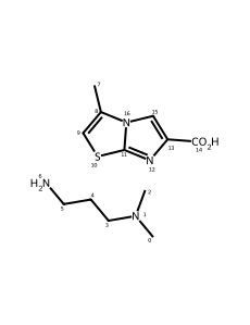 CN(C)CCCN.Cc1csc2nc(C(=O)O)cn12